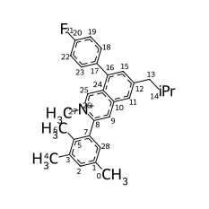 Cc1cc(C)c(C)c(-c2cc3cc(CC(C)C)cc(-c4ccc(F)cc4)c3c[n+]2C)c1